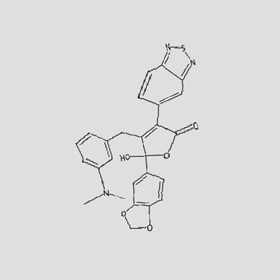 CN(C)c1cccc(CC2=C(c3ccc4nsnc4c3)C(=O)OC2(O)c2ccc3c(c2)OCO3)c1